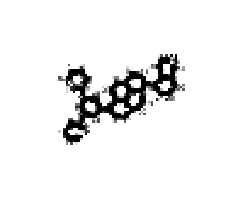 c1ccc(-c2cc(-c3ccccn3)cc(-c3ccc4ccc5c(-c6cccc7cnccc67)ccc6ccc3c4c65)c2)nc1